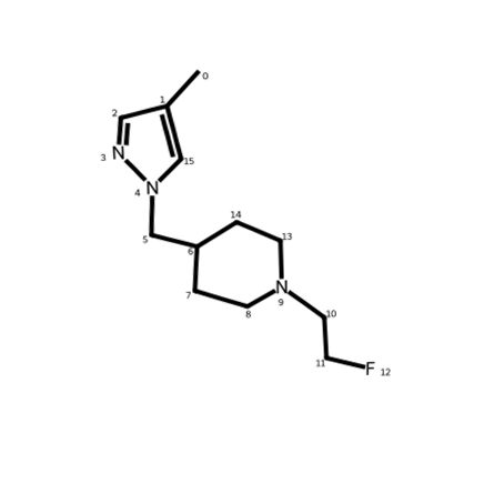 Cc1cnn(CC2CCN(CCF)CC2)c1